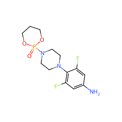 Nc1cc(F)c(N2CCN(P3(=O)OCCCO3)CC2)c(F)c1